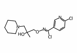 CC(O)(CON=C(Cl)c1ccc(Cl)nc1)CN1CCCCC1